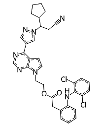 N#CCC(C1CCCC1)n1cc(-c2ncnc3c2ccn3CCOC(=O)Cc2ccccc2Nc2c(Cl)cccc2Cl)cn1